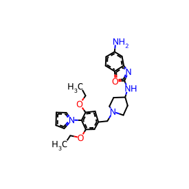 CCOc1cc(CN2CCC(Nc3nc4cc(N)ccc4o3)CC2)cc(OCC)c1-n1cccc1